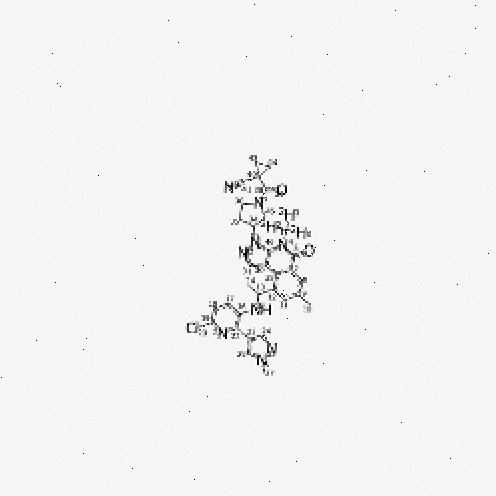 [2H]C([2H])([2H])n1c(=O)c2cc(C)cc(C(C)Nc3ccc(Cl)nc3-c3cnn(C)c3)c2c2cnn(C3CCN(C(=O)C4(C#N)CC4)C3)c21